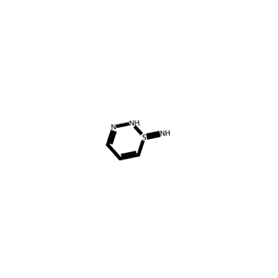 N=S1C=CC=NN1